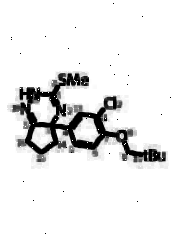 CSC1=NC2(c3ccc(OCC(C)(C)C)c(Cl)c3)CCCC2=NN1